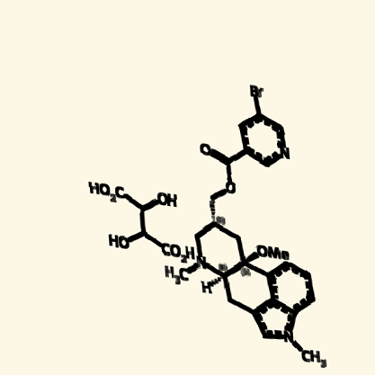 CO[C@]12C[C@@H](COC(=O)c3cncc(Br)c3)CN(C)[C@@H]1Cc1cn(C)c3cccc2c13.O=C(O)C(O)C(O)C(=O)O